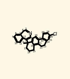 CC1(C2=CN=CCc3ccccc32)CCCc2c1ccc1c2CCc2cc(Cl)ccc2-1